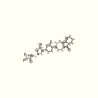 O=C(NC[C@H]1CN(c2ccc(N3CCn4c(=O)c5cccnc5n4CC3)c(F)c2)C(=O)O1)C(F)F